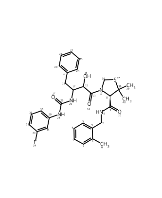 Cc1ccccc1CNC(=O)[C@H]1N(C(=O)C(O)C(Cc2ccccc2)NC(=O)Nc2cccc(F)c2)CSC1(C)C